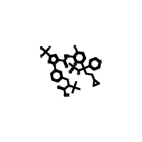 CC(C)(C)N(Cc1cccc(-n2nc(C(F)(F)F)cc2C(=O)Nc2cc(C(CCC3CC3)(NS(C)(=O)=O)c3ccncc3)ccc2F)c1)C(=O)O